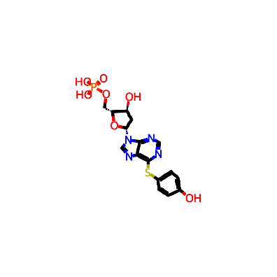 O=P(O)(O)OC[C@H]1O[C@@H](n2cnc3c(Sc4ccc(O)cc4)ncnc32)C[C@@H]1O